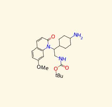 COc1ccc2ccc(=O)n(C(CNC(=O)OC(C)(C)C)C3CCC(N)CC3)c2c1